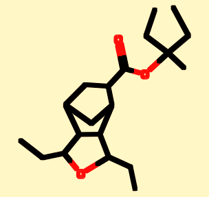 CCC1OC(CC)C2C3CC(CC3C(=O)OC(C)(CC)CC)C12